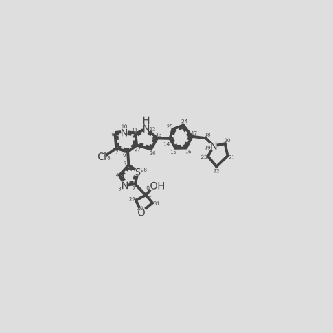 OC1(c2ncc(-c3c(Cl)cnc4[nH]c(-c5ccc(CN6CCCC6)cc5)cc34)s2)COC1